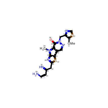 COc1scnc1Cn1ncc2c3sc(CC(=N)/C=C\N)nc3n(C)c2c1=O